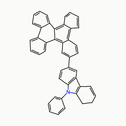 C1=Cc2c(n(-c3ccccc3)c3ccc(-c4ccc5c6ccccc6c6c7ccccc7c7ccccc7c6c5c4)cc23)CC1